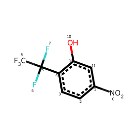 O=[N+]([O-])c1ccc(C(F)(F)C(F)(F)F)c(O)c1